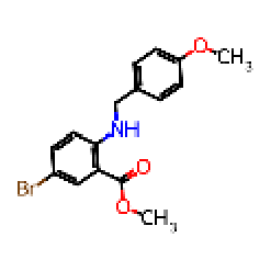 COC(=O)c1cc(Br)ccc1NCc1ccc(OC)cc1